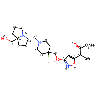 COC(=O)C(c1cc(OCC2(F)CCN(C[C@@H]3CC[C@]4(CO)CCCN34)CC2)no1)C(C)C